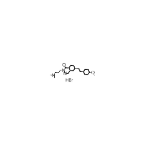 Br.COc1ccc(C=Cc2ccc3c(=O)n(CCCN(C)C)ncc3c2)cc1